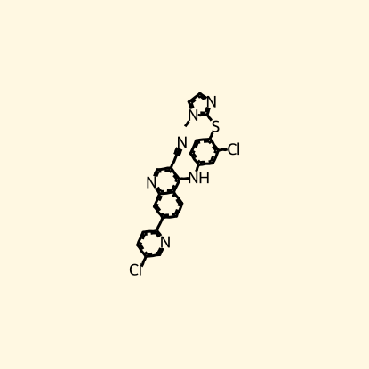 Cn1ccnc1Sc1ccc(Nc2c(C#N)cnc3cc(-c4ccc(Cl)cn4)ccc23)cc1Cl